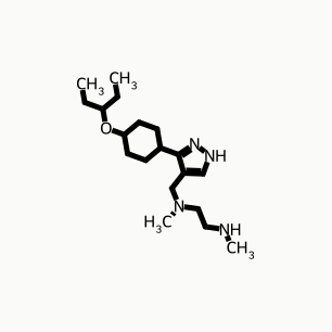 CCC(CC)OC1CCC(c2n[nH]cc2CN(C)CCNC)CC1